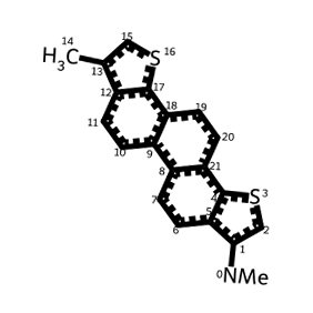 CNc1csc2c1ccc1c3ccc4c(C)csc4c3ccc12